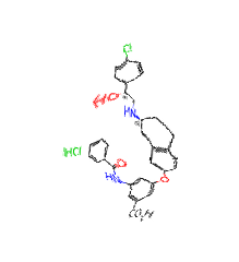 Cl.O=C(O)c1cc(NC(=O)c2ccccc2)cc(Oc2ccc3c(c2)C[C@@H](NC[C@H](O)c2ccc(Cl)cc2)CC3)c1